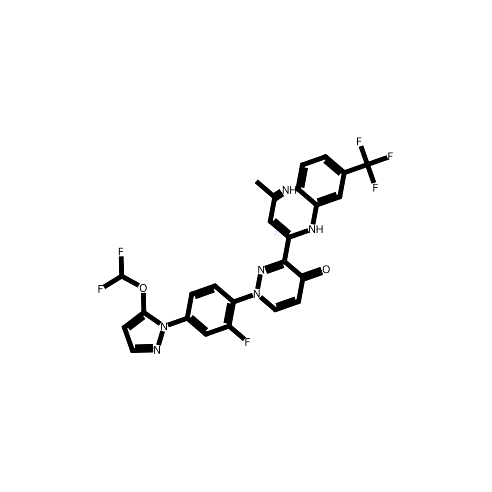 CC(=N)/C=C(\Nc1cccc(C(F)(F)F)c1)c1nn(-c2ccc(-n3nccc3OC(F)F)cc2F)ccc1=O